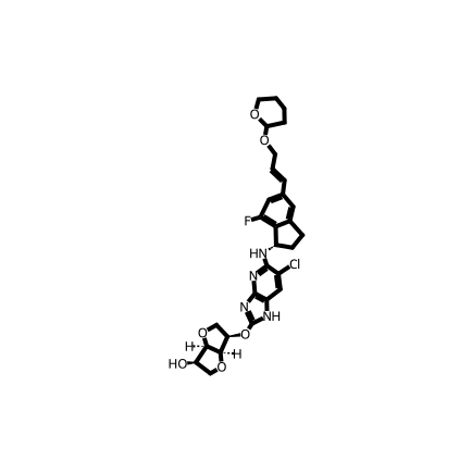 O[C@@H]1CO[C@H]2[C@@H]1OC[C@H]2Oc1nc2nc(N[C@H]3CCc4cc(/C=C/COC5CCCCO5)cc(F)c43)c(Cl)cc2[nH]1